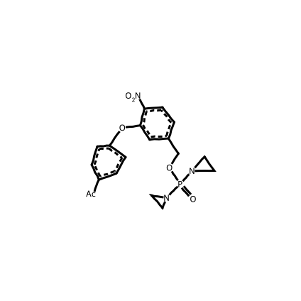 CC(=O)c1ccc(Oc2cc(COP(=O)(N3CC3)N3CC3)ccc2[N+](=O)[O-])cc1